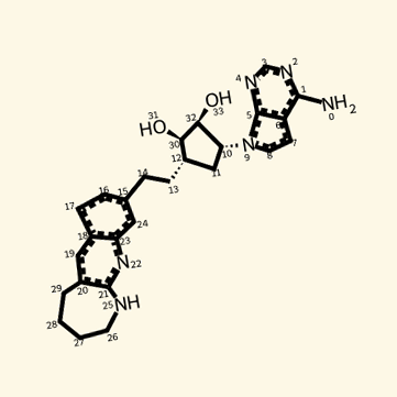 Nc1ncnc2c1ccn2[C@@H]1C[C@H](CCc2ccc3cc4c(nc3c2)NCCCC4)[C@@H](O)[C@H]1O